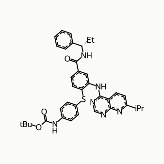 CC[C@H](NC(=O)c1ccc(Sc2ccc(NC(=O)OC(C)(C)C)cc2)c(Nc2ncnc3nc(C(C)C)ccc23)c1)c1ccccc1